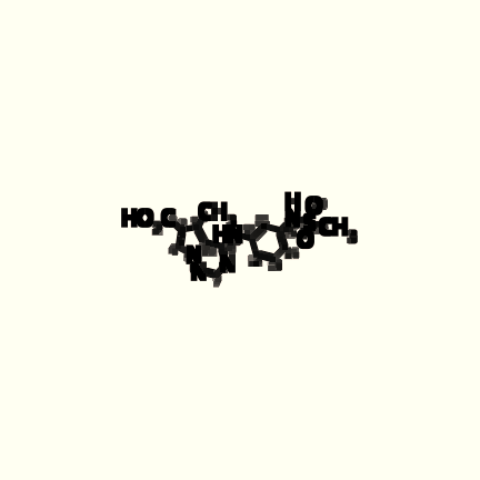 Cc1c(C(=O)O)cn2ncnc(Nc3cccc(NS(C)(=O)=O)c3)c12